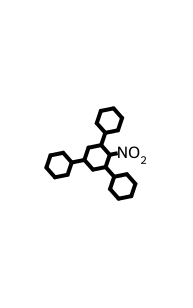 O=[N+]([O-])C1C(C2CCCCC2)CC(C2CCCCC2)CC1C1CCCCC1